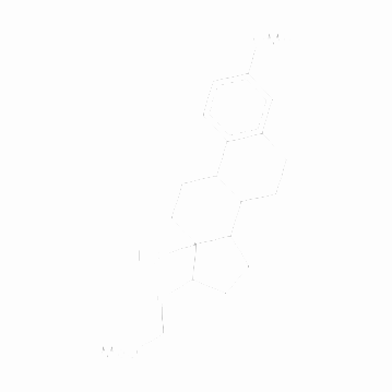 COCOC1CCC2C3CCc4cc(OC)ccc4C3CCC12C